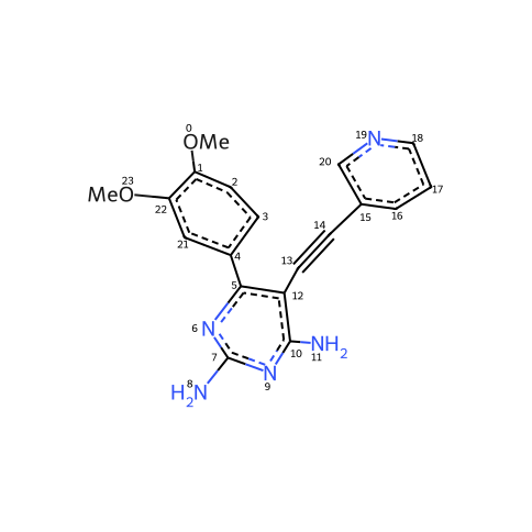 COc1ccc(-c2nc(N)nc(N)c2C#Cc2cccnc2)cc1OC